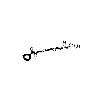 O=C(O)CNCCOCCOCCNC(=O)c1ccccc1